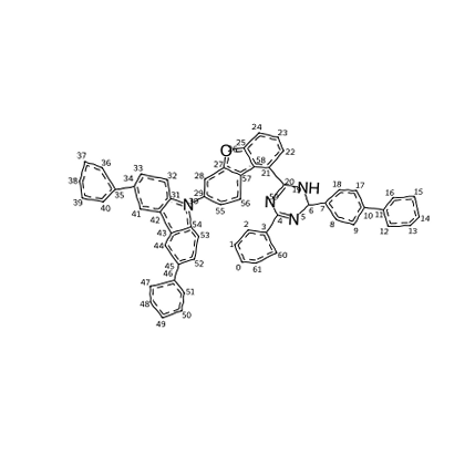 c1ccc(C2=NC(c3ccc(-c4ccccc4)cc3)NC(c3cccc4oc5cc(-n6c7ccc(-c8ccccc8)cc7c7cc(-c8ccccc8)ccc76)ccc5c34)=N2)cc1